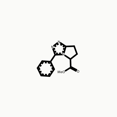 COC(=O)C1CCc2nnc(-c3ccccc3)n21